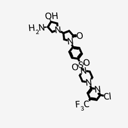 N[C@@H]1CN(C2CC(=O)N(c3ccc(S(=O)(=O)N4CCN(c5cc(C(F)(F)F)cc(Cl)n5)CC4)cc3)C2)C[C@H]1O